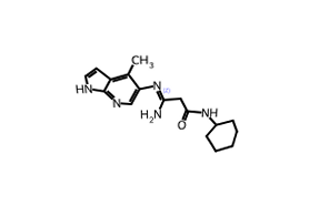 Cc1c(/N=C(\N)CC(=O)NC2CCCCC2)cnc2[nH]ccc12